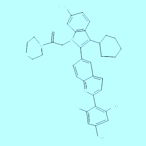 COc1cc(O)c(-c2ccc3cc(-c4c(C5CCCCC5)c5ccc(C(=O)O)cc5n4CC(=O)N4CCOCC4)ccc3n2)c(OC)c1